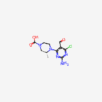 C[C@@H]1CN(C(=O)O)CCN1c1nc(N)nc(Cl)c1C=O